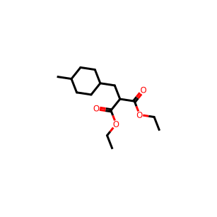 CCOC(=O)C(CC1CCC(C)CC1)C(=O)OCC